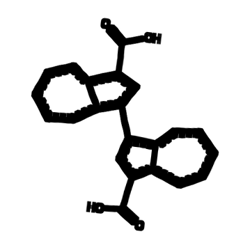 O=C(O)c1cc(-c2cc(C(=O)O)c3cccccc2-3)c2cccccc1-2